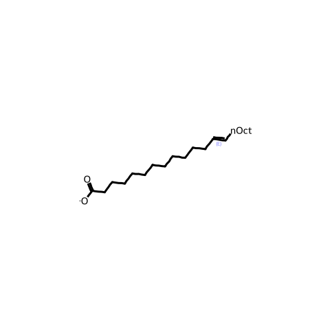 CCCCCCCC/C=C/CCCCCCCCCCCC([O])=O